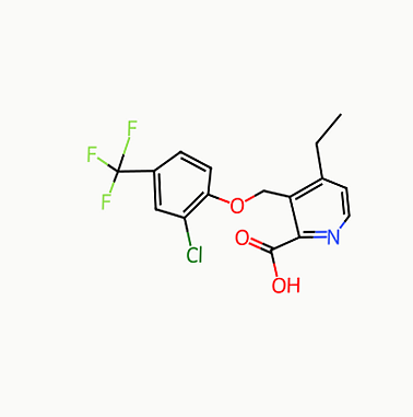 CCc1ccnc(C(=O)O)c1COc1ccc(C(F)(F)F)cc1Cl